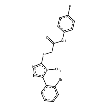 Cn1c(SCC(=O)Nc2ccc(F)cc2)nnc1-c1ccccc1Br